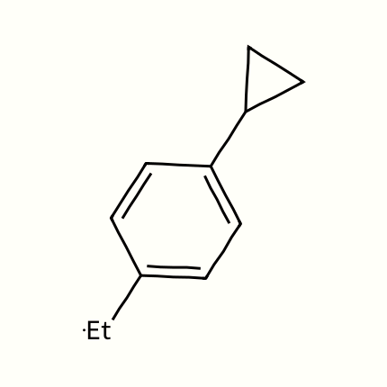 C[CH]c1ccc(C2CC2)cc1